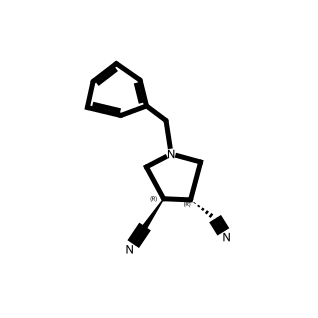 N#C[C@H]1CN(Cc2ccccc2)C[C@@H]1C#N